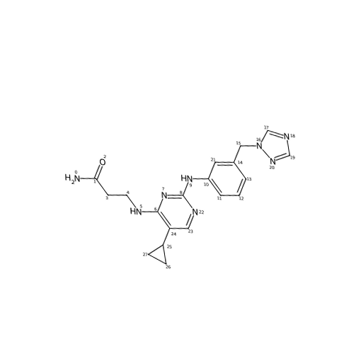 NC(=O)CCNc1nc(Nc2cccc(Cn3cncn3)c2)ncc1C1CC1